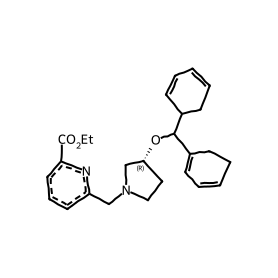 CCOC(=O)c1cccc(CN2CC[C@@H](OC(C3=CC=CCC3)C3C=CC=CC3)C2)n1